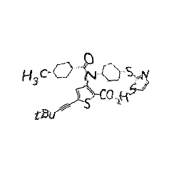 CC(C)(C)C#Cc1cc(N(C(=O)[C@H]2CC[C@H](C)CC2)[C@H]2CC[C@@H](Sc3nccs3)CC2)c(C(=O)O)s1